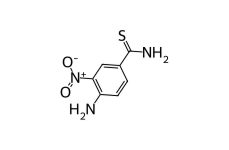 NC(=S)c1ccc(N)c([N+](=O)[O-])c1